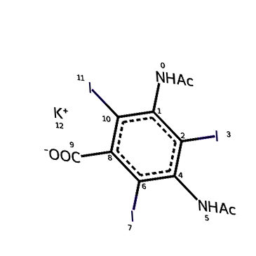 CC(=O)Nc1c(I)c(NC(C)=O)c(I)c(C(=O)[O-])c1I.[K+]